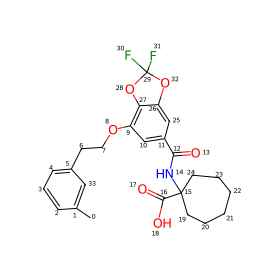 Cc1cccc(CCOc2cc(C(=O)NC3(C(=O)O)CCCCCC3)cc3c2OC(F)(F)O3)c1